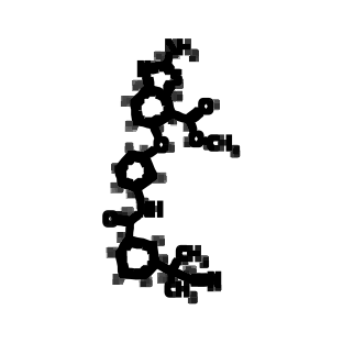 COC(=O)c1c(Oc2cccc(NC(=O)c3cccc(C(C)(C)C#N)c3)c2)ccc2nc(N)sc12